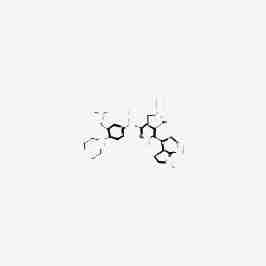 CN(C)Cc1cc(Nc2cnc(-c3ccnc4c3ccn4C)c3c2CNC3=O)ccc1N1CCOCC1